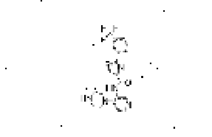 O=C(Nc1cnccc1N1CCNCC1)c1csc(-c2cccc(C(F)(F)F)c2)n1